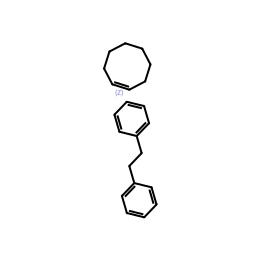 C1=C\CCCCCC/1.c1ccc(CCc2ccccc2)cc1